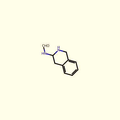 O=CNC1Cc2ccccc2CN1